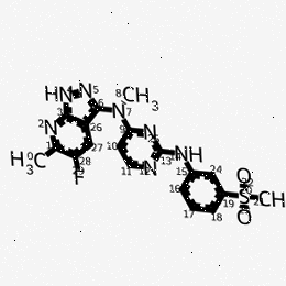 Cc1nc2[nH]nc(N(C)c3ccnc(Nc4cccc(S(C)(=O)=O)c4)n3)c2cc1F